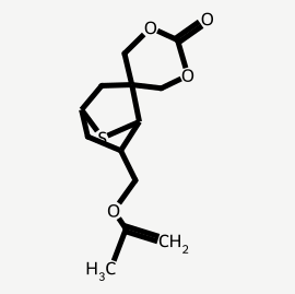 C=C(C)OCC1CC2CC3(COC(=O)OC3)C1S2